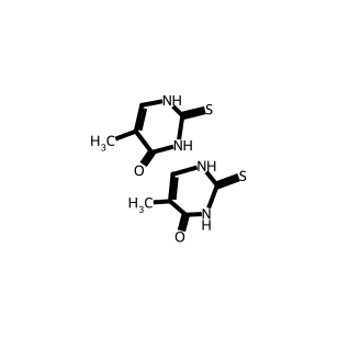 Cc1c[nH]c(=S)[nH]c1=O.Cc1c[nH]c(=S)[nH]c1=O